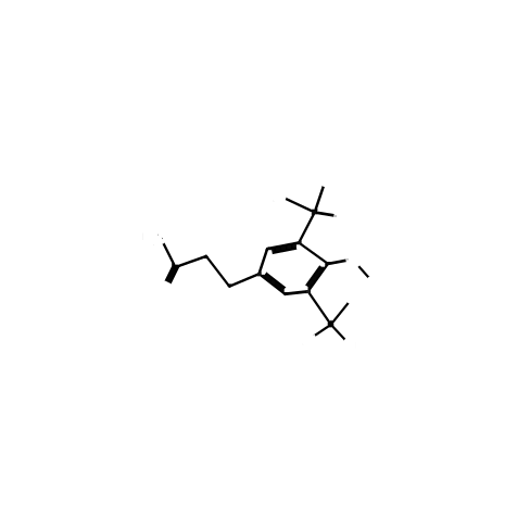 CC(C)(C)c1cc(CCC(N)=O)cc(C(C)(C)C)c1OO